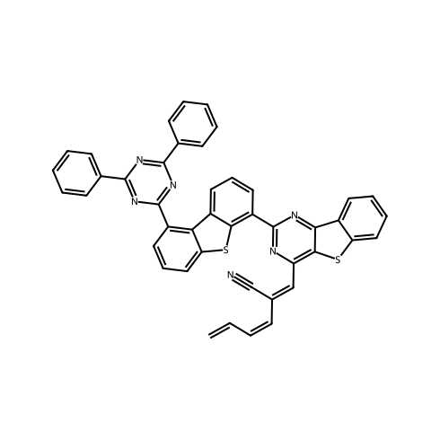 C=C/C=C\C(C#N)=C\c1nc(-c2cccc3c2sc2cccc(-c4nc(-c5ccccc5)nc(-c5ccccc5)n4)c23)nc2c1sc1ccccc12